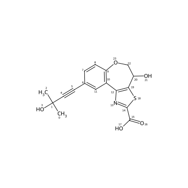 CC(C)(O)C#Cc1ccc2c(c1)-c1nc(C(=O)O)sc1C(O)CO2